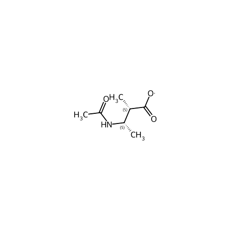 CC(=O)N[C@@H](C)[C@H](C)C([O])=O